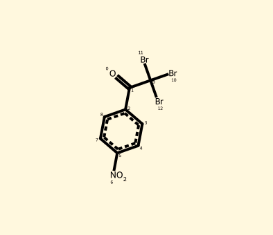 O=C(c1ccc([N+](=O)[O-])cc1)C(Br)(Br)Br